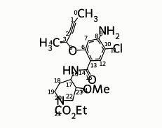 CC#C[C@H](C)Oc1cc(N)c(Cl)cc1C(=O)NC1CCN(C(=O)OCC)CC1OC